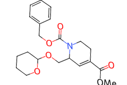 COC(=O)C1=CC(COC2CCCCO2)N(C(=O)OCc2ccccc2)CC1